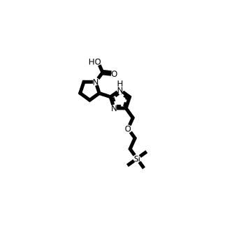 C[Si](C)(C)CCOCc1c[nH]c(C2CCCN2C(=O)O)n1